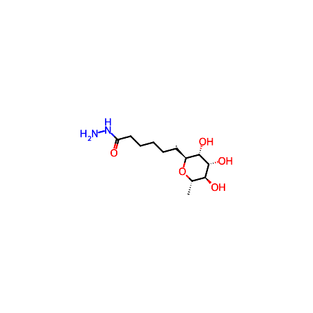 C[C@@H]1O[C@@H]([CH]CCCCC(=O)NN)[C@H](O)[C@H](O)[C@H]1O